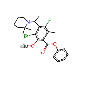 CCCCOc1c(Br)c(C(C)N2CCCCC2(C)C)c(F)c(C)c1C(=O)Oc1ccccc1